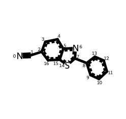 N#Cc1ccc2nc(-c3ccccc3)sc2c1